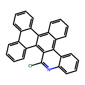 Clc1nc2ccccc2c2c3ccccc3c3c4ccccc4c4ccccc4c3c12